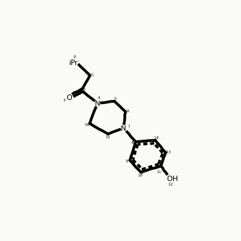 CC(C)CC(=O)N1CCN(c2ccc(O)cc2)CC1